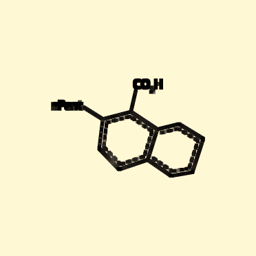 CCCCCc1ccc2ccccc2c1C(=O)O